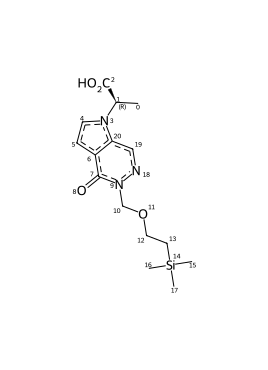 C[C@H](C(=O)O)n1ccc2c(=O)n(COCC[Si](C)(C)C)ncc21